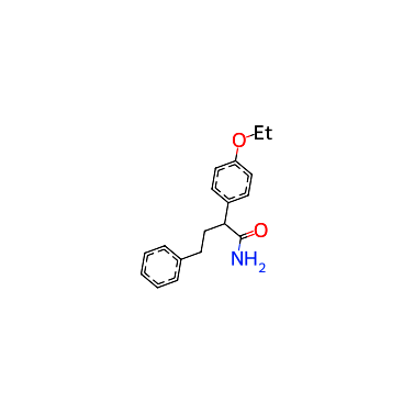 CCOc1ccc(C(CCc2ccccc2)C(N)=O)cc1